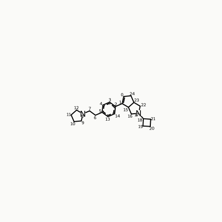 C1=C(c2ccc(CCN3CCCC3)cc2)C2CN(C3CCC3)CC2C1